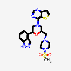 CS(=O)(=O)N1CCN(CC2CN(c3ncnc4ccsc34)CC(c3cccc4[nH]ncc34)O2)CC1